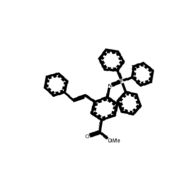 COC(=O)c1ccc(N=P(c2ccccc2)(c2ccccc2)c2ccccc2)c(/C=C/c2ccccc2)c1